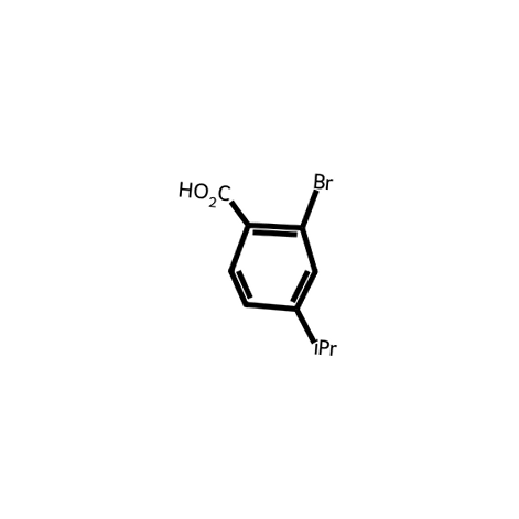 CC(C)c1ccc(C(=O)O)c(Br)c1